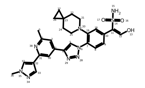 Cc1cc(-c2cn(-c3ccc(C(=CO)S(N)(=O)=O)cc3N3CCC4(CC3)CC4)nn2)cc(-c2cnn(C)c2)n1